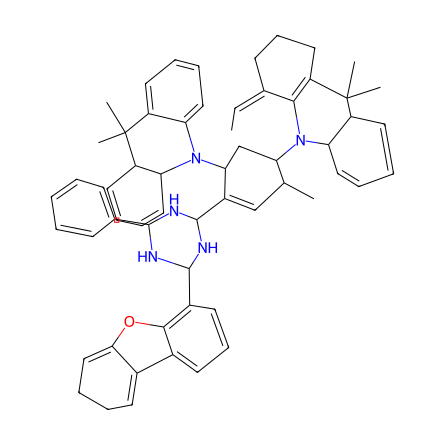 C/C=C1/CCCC2=C1N(C1CC(N3c4ccccc4C(C)(C)C4C=CC=CC43)C(C3NC(c4ccccc4)NC(c4cccc5c6c(oc45)=CCCC=6)N3)=CC1C)C1C=CC=CC1C2(C)C